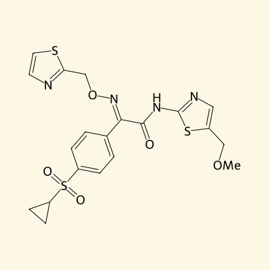 COCc1cnc(NC(=O)/C(=N/OCc2nccs2)c2ccc(S(=O)(=O)C3CC3)cc2)s1